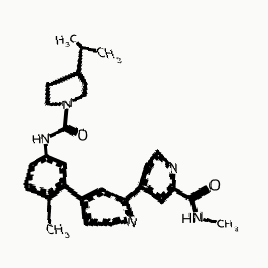 CNC(=O)c1cc(-c2cc(-c3cc(NC(=O)N4CCC(C(C)C)C4)ccc3C)ccn2)ccn1